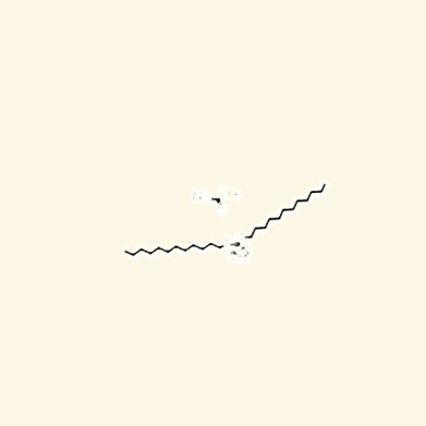 CCCCCCCCCCCCOP(O)(=S)SCCCCCCCCCCCC.O=C(O)O